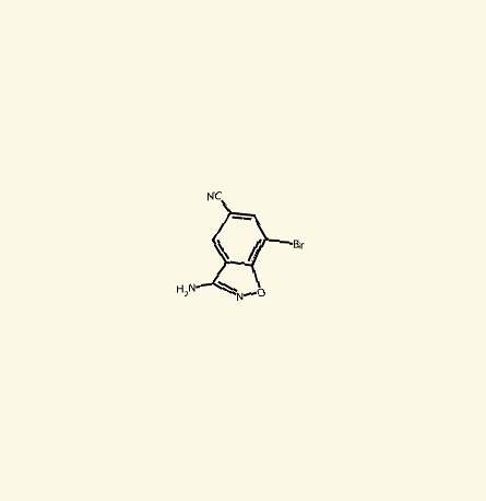 N#Cc1cc(Br)c2onc(N)c2c1